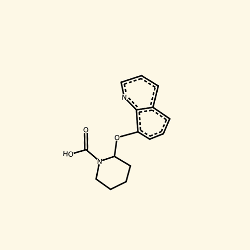 O=C(O)N1CCCCC1Oc1cccc2cccnc12